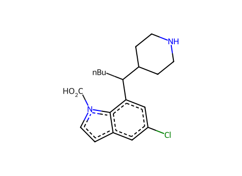 CCCCC(c1cc(Cl)cc2ccn(C(=O)O)c12)C1CCNCC1